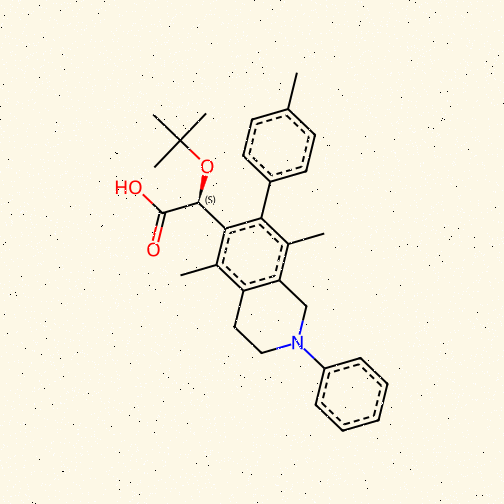 Cc1ccc(-c2c(C)c3c(c(C)c2[C@H](OC(C)(C)C)C(=O)O)CCN(c2ccccc2)C3)cc1